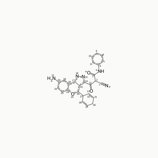 N#CC(C(=O)Nc1ccccc1)C(=O)c1nnc2c3cc(N)ccc3oc(C3C=CCC=C3)c1-2